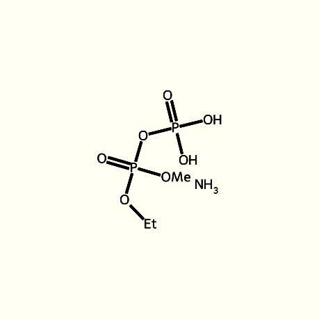 CCOP(=O)(OC)OP(=O)(O)O.N